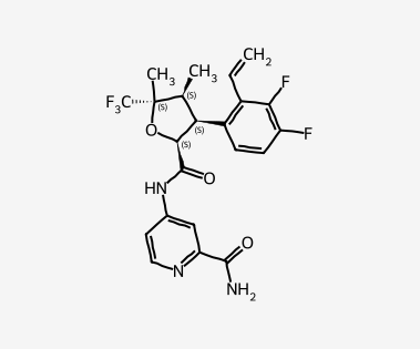 C=Cc1c([C@H]2[C@@H](C(=O)Nc3ccnc(C(N)=O)c3)O[C@](C)(C(F)(F)F)[C@H]2C)ccc(F)c1F